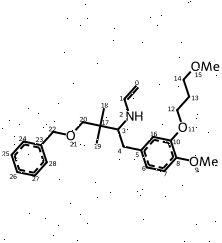 C=CNC(Cc1ccc(OC)c(OCCCOC)c1)C(C)(C)COCc1ccccc1